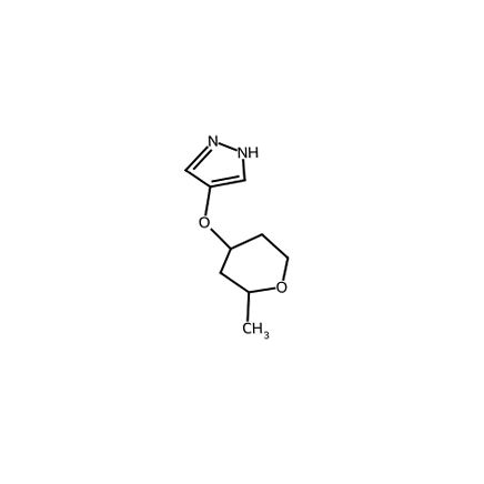 CC1CC(Oc2cn[nH]c2)CCO1